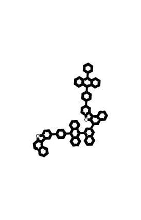 c1ccc(-c2c3ccccc3c(-c3ccc(-c4ccc5oc6c(-c7cc(-c8c9ccccc9c(-c9ccc(-c%10ccc%11oc%12ccc%13ccccc%13c%12c%11c%10)cc9)c9ccccc89)c8ccccc8c7)cc7ccccc7c6c5c4)cc3)c3ccccc23)cc1